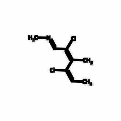 C\C=C(Cl)/C(C)=C(Cl)\C=N\C